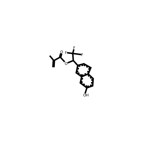 C=C(C)C(=O)OC(c1ccc2ccc(O)cc2c1)C(F)(F)F